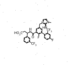 Cn1ccn(Cc2cc(C(=O)NC(CC(=O)O)c3cccc(C(F)(F)F)c3)c(F)c(-c3ccc(F)cc3C(F)(F)F)c2)c1=N